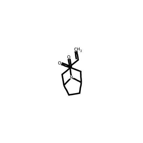 C=CC(=O)N1C2CCC1CC(=O)C2